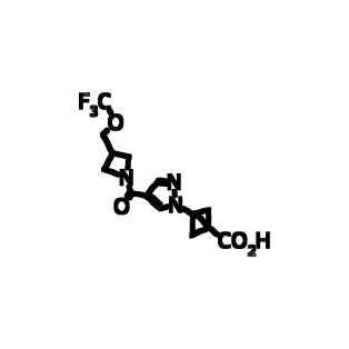 O=C(c1cnn(C23CC(C(=O)O)(C2)C3)c1)N1CC(COC(F)(F)F)C1